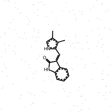 Cc1c[nH]c(/C=C2\C(=O)Nc3ccccc32)c1C